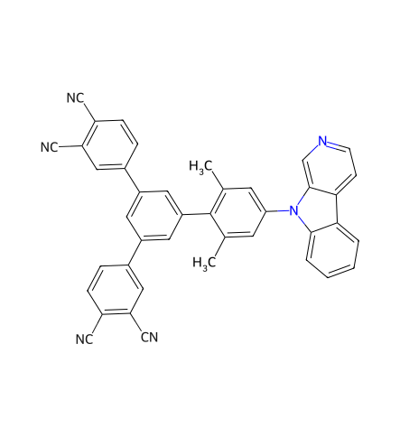 Cc1cc(-n2c3ccccc3c3ccncc32)cc(C)c1-c1cc(-c2ccc(C#N)c(C#N)c2)cc(-c2ccc(C#N)c(C#N)c2)c1